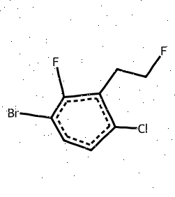 FCCc1c(Cl)ccc(Br)c1F